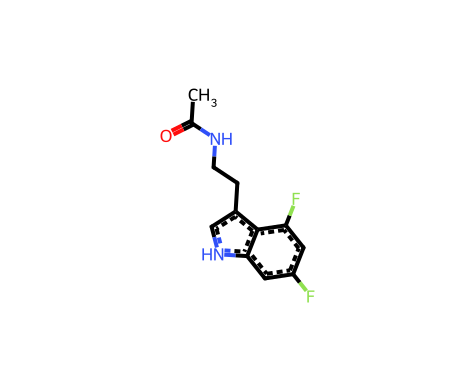 CC(=O)NCCc1c[nH]c2cc(F)cc(F)c12